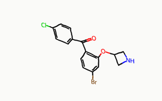 O=C(c1ccc(Cl)cc1)c1ccc(Br)cc1OC1CNC1